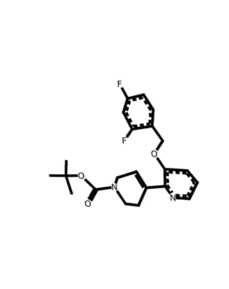 CC(C)(C)OC(=O)N1CC=C(c2ncccc2OCc2ccc(F)cc2F)CC1